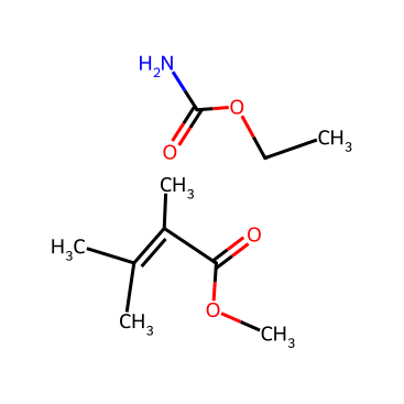 CCOC(N)=O.COC(=O)C(C)=C(C)C